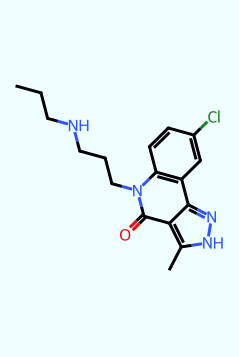 CCCNCCCn1c(=O)c2c(C)[nH]nc2c2cc(Cl)ccc21